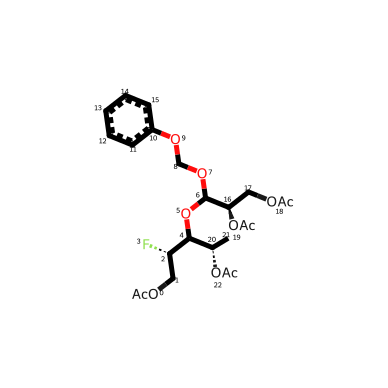 CC(=O)OC[C@H](F)C(OC(OCOc1ccccc1)[C@@H](COC(C)=O)OC(C)=O)[C@H](C)OC(C)=O